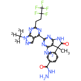 [2H]C([2H])([2H])n1ncc2c(-c3nc(N)c4c(n3)NC(=O)C4(C)c3ccc(C(=O)NN)cc3)nc(CCC(F)(F)C(F)(F)F)nc21